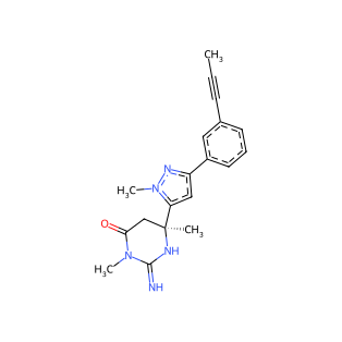 CC#Cc1cccc(-c2cc([C@]3(C)CC(=O)N(C)C(=N)N3)n(C)n2)c1